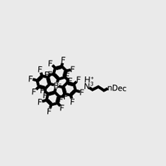 CCCCCCCCCCCCC[NH3+].Fc1c(F)c(F)c([B-](c2c(F)c(F)c(F)c(F)c2F)(c2c(F)c(F)c(F)c(F)c2F)c2c(F)c(F)c(F)c(F)c2F)c(F)c1F